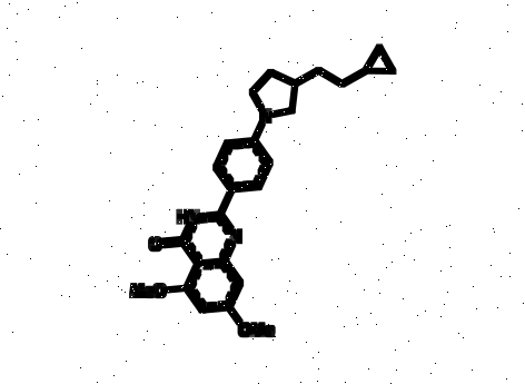 COc1cc(OC)c2c(=O)[nH]c(-c3ccc(N4CCC(CCC5CC5)C4)cc3)nc2c1